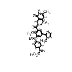 CCN(c1cc(-c2nccn2C)cc(C(=O)NCc2c(C)cc(C)[nH]c2=O)c1C)C1CCC(NC(=O)O)CC1